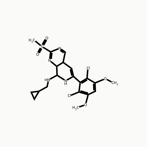 COc1cc(OC)c(Cl)c(C2=CC3C=NC(S(C)(=O)=O)=NC3C(NCC3CC3)N2)c1Cl